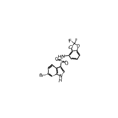 O=S(=O)(Nc1cccc2c1OC(F)(F)O2)c1c[nH]c2cc(Br)ccc12